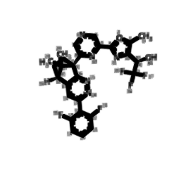 Cc1oc(-c2cncc([C@@]34CC[C@@H](c5cc(-c6c(F)cccc6F)nnc53)C4(C)C)n2)nc1[C@@H](O)C(F)(F)F